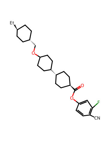 CC[C@H]1CC[C@H](COC2CCC([C@H]3CC[C@H](C(=O)Oc4ccc(C#N)c(F)c4)CC3)CC2)CC1